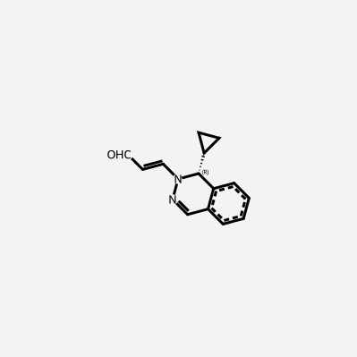 O=CC=CN1N=Cc2ccccc2[C@H]1C1CC1